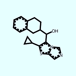 OC(c1c(C2CC2)sc2cncn12)C1CCc2ccccc2C1